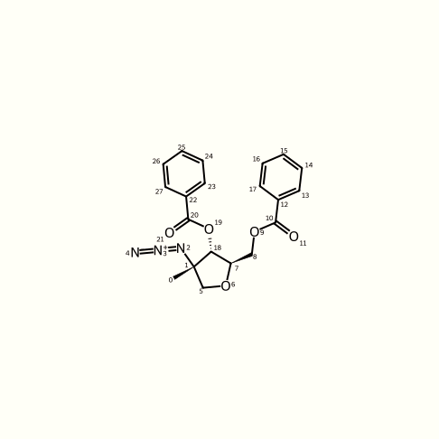 C[C@]1(N=[N+]=[N-])CO[C@H](COC(=O)c2ccccc2)[C@H]1OC(=O)c1ccccc1